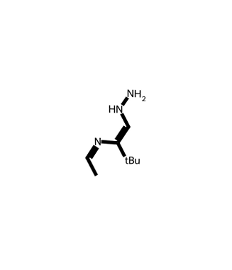 C/C=N\C(=C/NN)C(C)(C)C